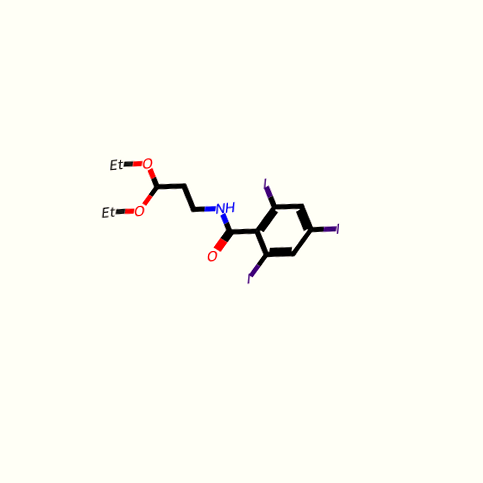 CCOC(CCNC(=O)c1c(I)cc(I)cc1I)OCC